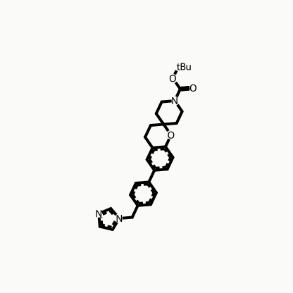 CC(C)(C)OC(=O)N1CCC2(CCc3cc(-c4ccc(Cn5ccnc5)cc4)ccc3O2)CC1